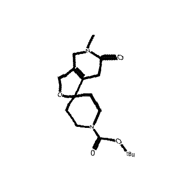 CN1CC2=C(CC1=O)C1(CCN(C(=O)OC(C)(C)C)CC1)OC2